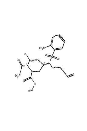 C=CCON([C@@H]1C=C(C(C)C)[C@@H](C(N)=O)N(C(=O)OC(C)(C)C)C1)S(=O)(=O)c1ccccc1[N+](=O)[O-]